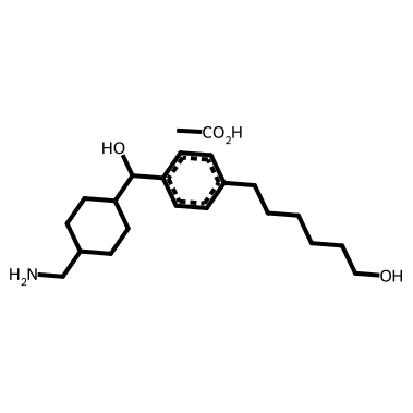 CC(=O)O.NCC1CCC(C(O)c2ccc(CCCCCCO)cc2)CC1